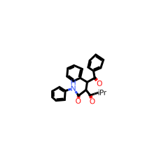 CC(C)C(=O)C(C(=O)Nc1ccccc1)C(C(=O)c1ccccc1)c1ccccc1